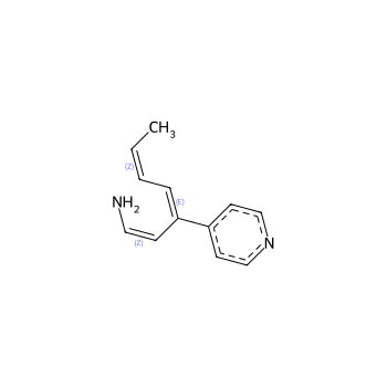 C\C=C/C=C(\C=C/N)c1ccncc1